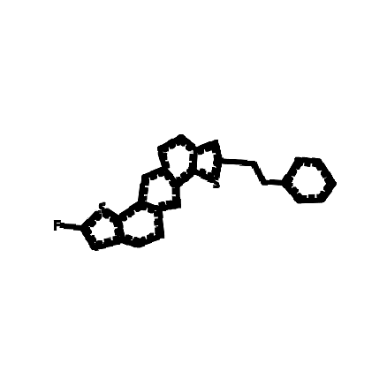 Fc1cc2ccc3cc4c(ccc5cc(CCc6ccccc6)sc54)cc3c2s1